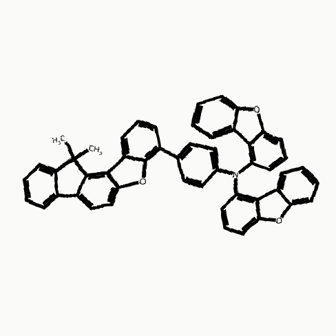 CC1(C)c2ccccc2-c2ccc3oc4c(-c5ccc(N(c6cccc7oc8ccccc8c67)c6cccc7oc8ccccc8c67)cc5)cccc4c3c21